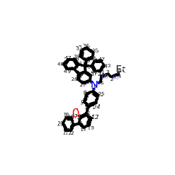 CC/C=C\C=C/CN(c1ccc(-c2cccc3c2oc2ccccc23)cc1)c1ccc2c(c1)C(c1ccccc1)(c1ccccc1)c1ccccc1-2